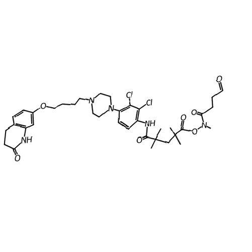 CN(OC(=O)C(C)(C)CC(C)(C)C(=O)Nc1ccc(N2CCN(CCCCOc3ccc4c(c3)NC(=O)CC4)CC2)c(Cl)c1Cl)C(=O)CCC=O